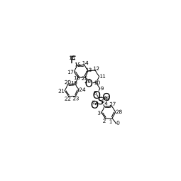 Cc1ccc(S(=O)(=O)OCC2CCc3cc(F)cc(-c4ccccc4)c3O2)cc1